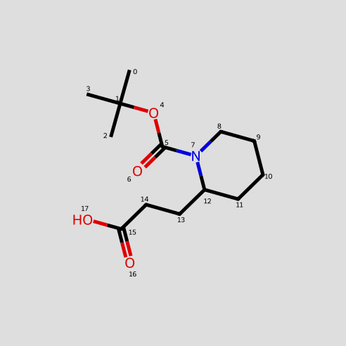 CC(C)(C)OC(=O)N1CCCCC1CCC(=O)O